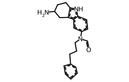 NC1CCc2[nH]c3ccc(N(C=O)CCCc4ccccc4)cc3c2C1